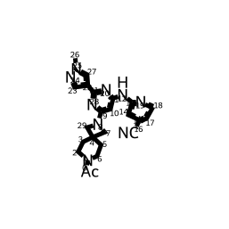 CC(=O)N1CCC2(CC1)CN(c1cc(Nc3cc(C#N)ccn3)nc(-c3cnn(C)c3)n1)C2